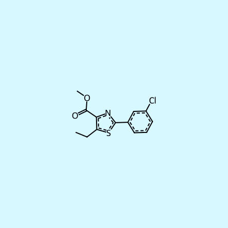 CCc1sc(-c2cccc(Cl)c2)nc1C(=O)OC